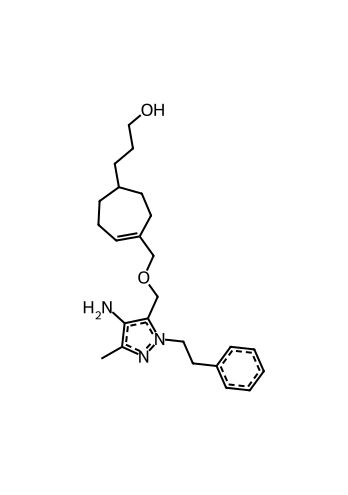 Cc1nn(CCc2ccccc2)c(COCC2=CCCC(CCCO)CC2)c1N